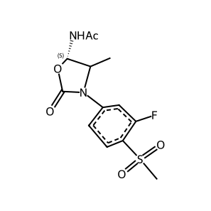 CC(=O)N[C@H]1OC(=O)N(c2ccc(S(C)(=O)=O)c(F)c2)C1C